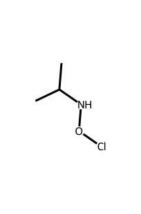 CC(C)NOCl